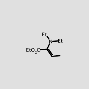 CC=C(C(=O)OCC)N(CC)CC